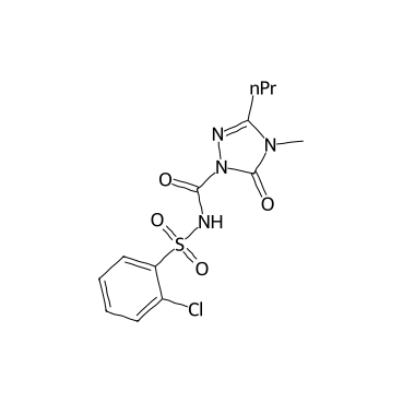 CCCc1nn(C(=O)NS(=O)(=O)c2ccccc2Cl)c(=O)n1C